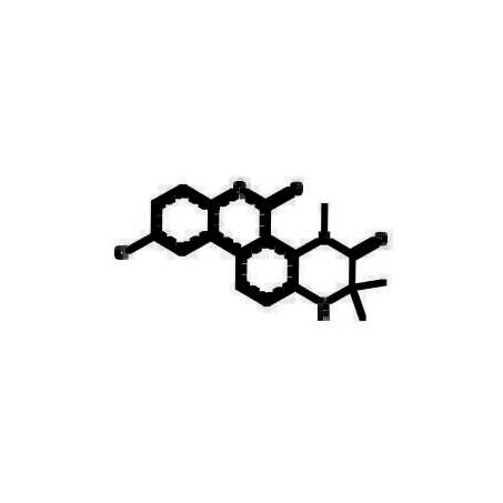 CN1C(=O)C(C)(C)Nc2ccc3c(c21)c(=O)oc1ccc(Cl)cc13